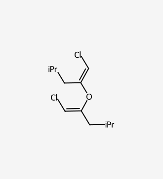 CC(C)CC(=CCl)OC(=CCl)CC(C)C